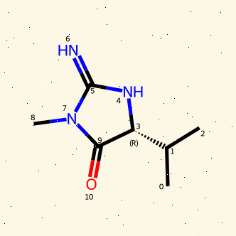 CC(C)[C@H]1NC(=N)N(C)C1=O